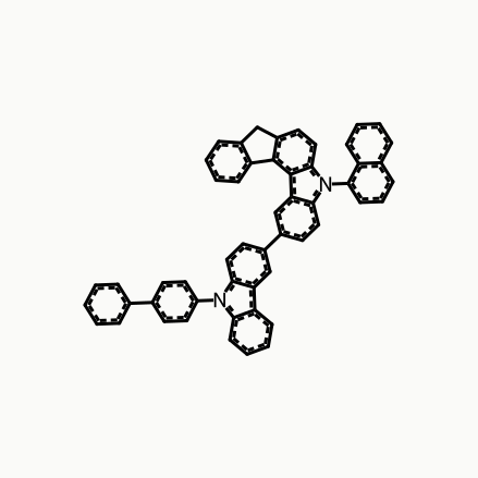 c1ccc(-c2ccc(-n3c4ccccc4c4cc(-c5ccc6c(c5)c5c7c(ccc5n6-c5cccc6ccccc56)Cc5ccccc5-7)ccc43)cc2)cc1